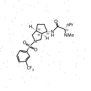 CCC[C@H](NC)C(=O)N[C@H]1CC[C@@H]2CN(S(=O)(=O)c3cccc(C(F)(F)F)c3)C[C@@H]21